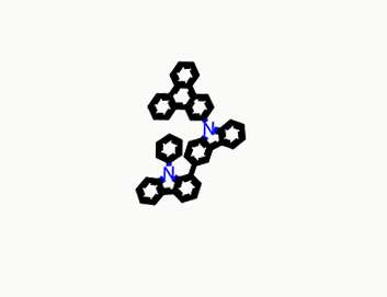 c1ccc(-n2c3ccccc3c3cccc(-c4ccc5c(c4)c4ccccc4n5-c4ccc5c6ccccc6c6ccccc6c5c4)c32)cc1